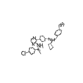 CCCc1ccc(CC(Nc2ccc(-c3nccnc3N[C@@H](C)c3ccc(Cl)cc3)cc2)=C2CCC2)cc1